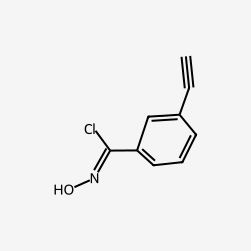 C#Cc1cccc(/C(Cl)=N/O)c1